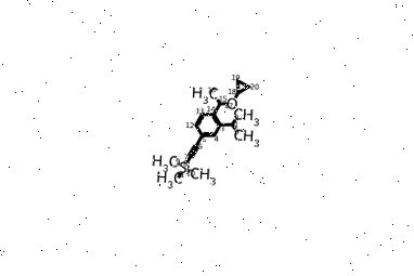 CC(C)c1cc(C#C[Si](C)(C)C)ccc1C(C)OC1CC1